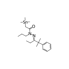 CCCN(N=C(CC)C(C)(C)c1ccccc1)C(=O)[CH2][Sn]([CH3])([CH3])[CH3]